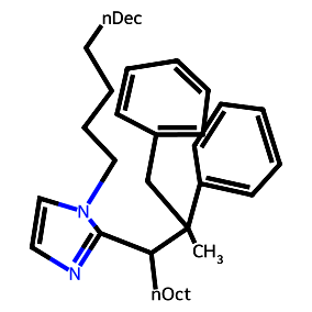 CCCCCCCCCCCCCCn1ccnc1C(CCCCCCCC)C(C)(Cc1ccccc1)c1ccccc1